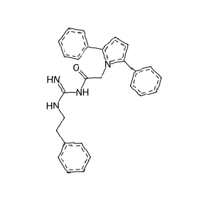 N=C(NCCc1ccccc1)NC(=O)Cn1c(-c2ccccc2)ccc1-c1ccccc1